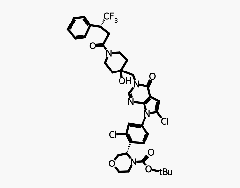 CC(C)(C)OC(=O)N1CCOC[C@@H]1c1ccc(-n2c(Cl)cc3c(=O)n(CC4(O)CCN(C(=O)C[C@H](c5ccccc5)C(F)(F)F)CC4)cnc32)cc1Cl